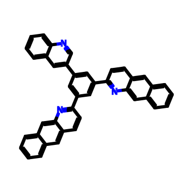 c1ccc2cc3nc(-c4cc(-c5cnc6ccccc6c5)cc(-c5ccc6cc7ccccc7cc6n5)c4)ccc3cc2c1